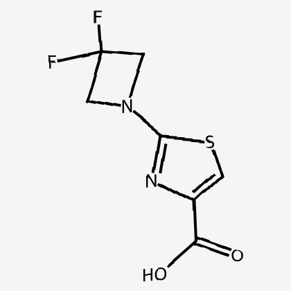 O=C(O)c1csc(N2CC(F)(F)C2)n1